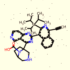 C#Cc1nc([Si](C(C)C)(C(C)C)C(C)C)c(-c2nc(C34CCC(CNC3)N4C(=O)O)c3cnccc3n2)c2ccccc12